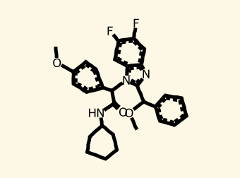 COc1ccc(C(C(=O)NC2CCCCC2)n2c(C(OC)c3ccccc3)nc3cc(F)c(F)cc32)cc1